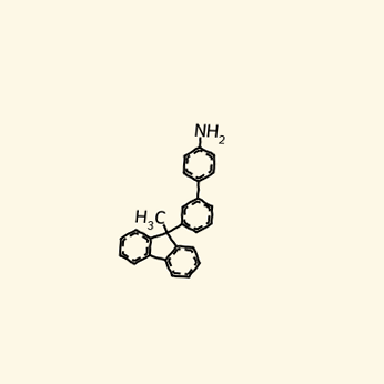 CC1(c2cccc(-c3ccc(N)cc3)c2)c2ccccc2-c2ccccc21